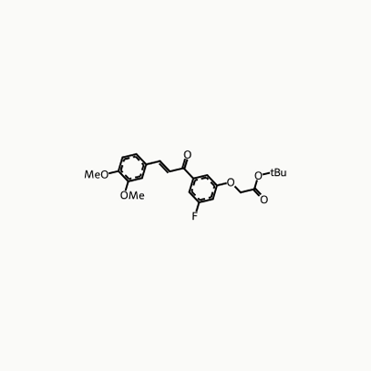 COc1ccc(C=CC(=O)c2cc(F)cc(OCC(=O)OC(C)(C)C)c2)cc1OC